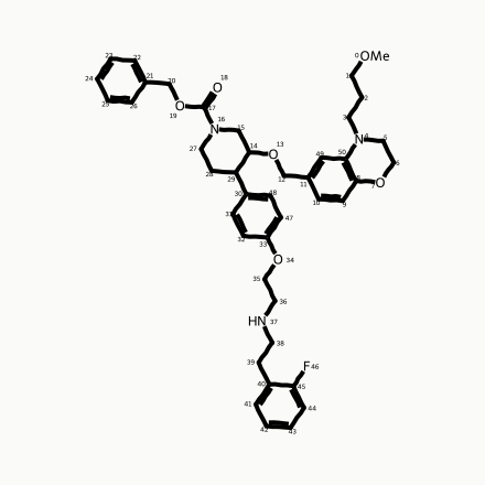 COCCCN1CCOc2ccc(COC3CN(C(=O)OCc4ccccc4)CCC3c3ccc(OCCNCCc4ccccc4F)cc3)cc21